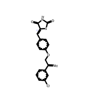 N=C(COc1ccc(/C=C2\SC(=O)NC2=O)cc1)c1cccc(Cl)c1